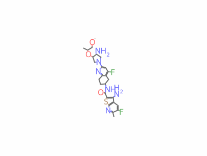 COCC(C)OC1CN(c2cc(F)c3c(n2)CCC(NC(=O)c2sc4nc(C)c(F)cc4c2N)C3)CC1N